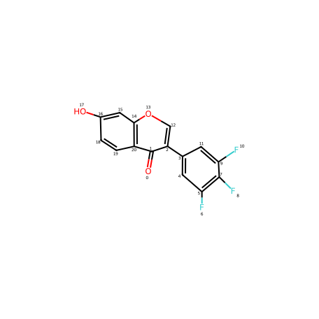 O=c1c(-c2cc(F)c(F)c(F)c2)coc2cc(O)ccc12